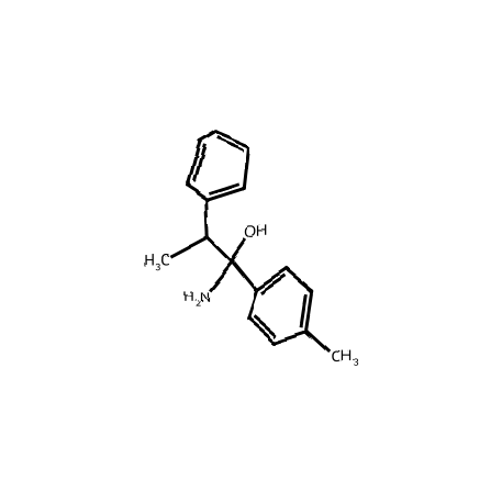 Cc1ccc(C(N)(O)C(C)c2ccccc2)cc1